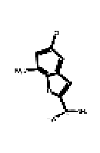 C[C@H](N)c1cc2cc(Cl)cc(C(=O)O)c2o1